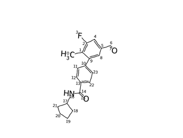 Cc1c(F)cc(C=O)cc1-c1ccc(C(=O)NC2CCCC2)cc1